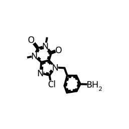 Bc1cccc(Cn2c(Cl)nc3c2c(=O)n(C)c(=O)n3C)c1